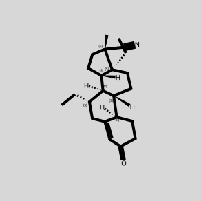 CC[C@H]1CC2=CC(=O)CC[C@@H]2[C@H]2CC[C@@]3(CC)[C@@H](CC[C@]3(C)C#N)[C@H]12